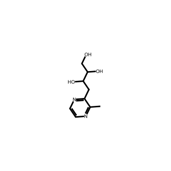 Cc1nccnc1CC(O)C(O)CO